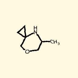 CC1COCC2(CC2)N1